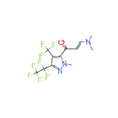 CN(C)/C=C/C(=O)c1c(C(F)(F)F)c(C(F)(F)C(F)(F)F)nn1C